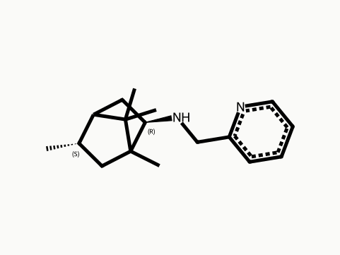 C[C@H]1CC2(C)[C@H](NCc3ccccn3)CC1C2(C)C